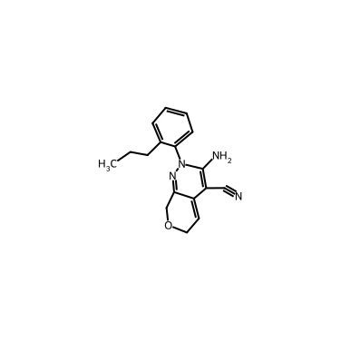 CCCc1ccccc1N1N=C2COCC=C2C(C#N)=C1N